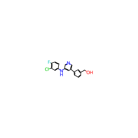 OCc1cccc(-c2cncc(Nc3ccc(F)c(Cl)c3)c2)c1